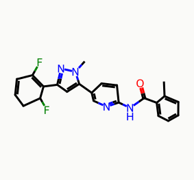 Cc1ccccc1C(=O)Nc1ccc(-c2cc(C3=C(F)C=CCC3F)nn2C)cn1